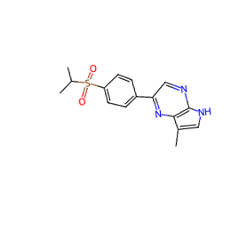 Cc1c[nH]c2ncc(-c3ccc(S(=O)(=O)C(C)C)cc3)nc12